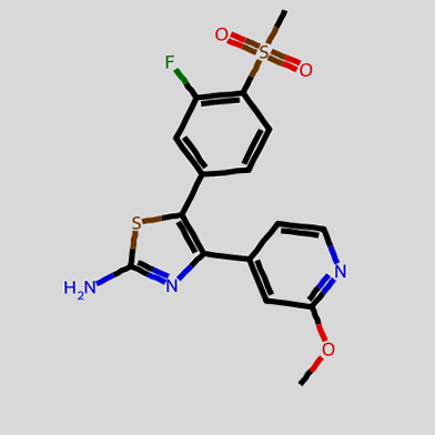 COc1cc(-c2nc(N)sc2-c2ccc(S(C)(=O)=O)c(F)c2)ccn1